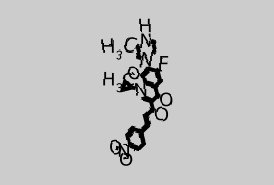 COc1c(N2CCNC(C)C2)c(F)cc2c(=O)c(C(=O)C=Cc3ccc([N+](=O)[O-])cc3)cn(C3CC3)c12